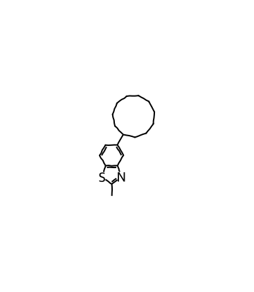 Cc1nc2cc(C3CCCCCCCCCC3)ccc2s1